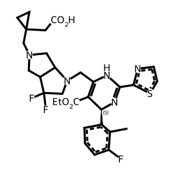 CCOC(=O)C1=C(CN2CC(F)(F)C3CN(CC4(CC(=O)O)CC4)CC32)NC(c2nccs2)=N[C@H]1c1cccc(F)c1C